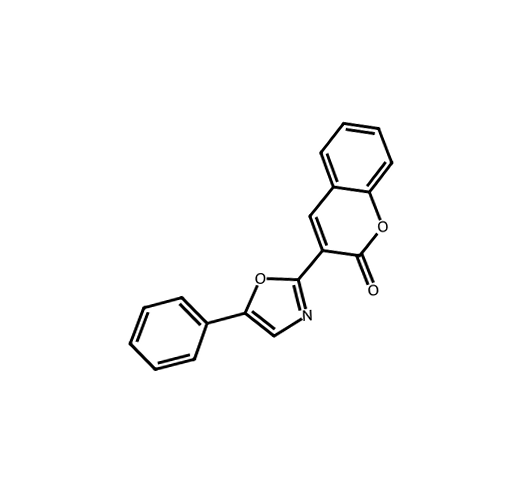 O=c1oc2ccccc2cc1-c1ncc(-c2ccccc2)o1